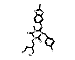 Cc1nc2ccc(/N=c3\n(C)c(=O)n(CCC(CO)CO)c(=O)n3Cc3ccc(Cl)cc3)cc2s1